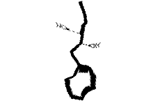 [CH2]C[C@@H](O)[C@H](O)Cc1ccccc1